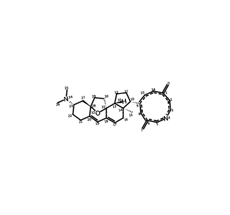 C=c1ccncc(=C)cc([C@H]2CC[C@@H]3[C@]2(C)CC=C2C=C4CC[C@H](N(C)C)C[C@]45CC[C@@]23O5)cc1